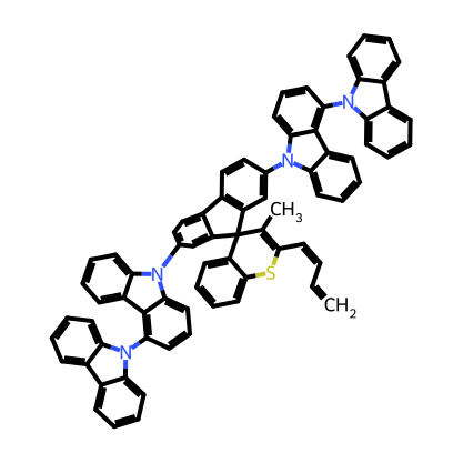 C=C/C=C\C1=C(C)C2(c3ccccc3S1)c1cc(-n3c4ccccc4c4c(-n5c6ccccc6c6ccccc65)cccc43)ccc1-c1ccc(-n3c4ccccc4c4c(-n5c6ccccc6c6ccccc65)cccc43)cc12